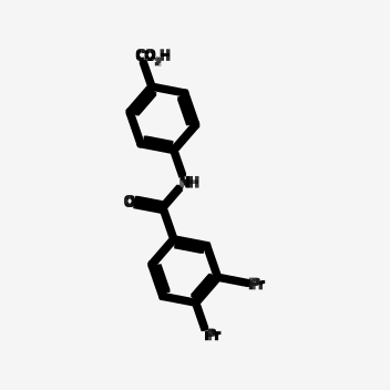 CC(C)c1ccc(C(=O)Nc2ccc(C(=O)O)cc2)cc1C(C)C